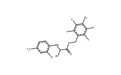 CC(=O)c1c(F)c(F)c(COC(=O)C(Nc2ccc(C(F)(F)F)cc2Cl)C(C)C)c(F)c1F